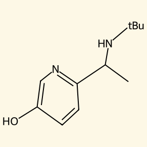 CC(NC(C)(C)C)c1ccc(O)cn1